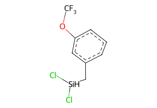 FC(F)(F)Oc1cccc(C[SiH](Cl)Cl)c1